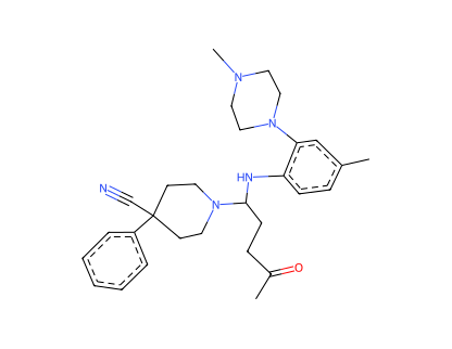 CC(=O)CCC(Nc1ccc(C)cc1N1CCN(C)CC1)N1CCC(C#N)(c2ccccc2)CC1